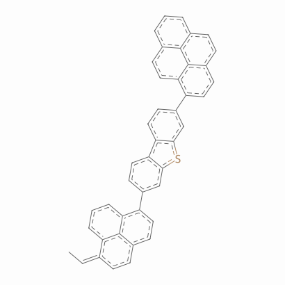 C/C=c1/ccc2ccc(-c3ccc4c(c3)sc3cc(-c5ccc6ccc7cccc8ccc5c6c78)ccc34)c3cccc1c23